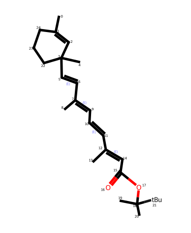 CC1=CC(C)(/C=C/C(C)=C/C=C/C(C)=C/C(=O)OC(C)(C)C(C)(C)C)CCC1